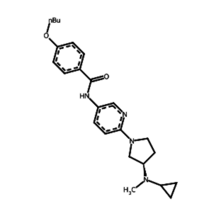 CCCCOc1ccc(C(=O)Nc2ccc(N3CC[C@@H](N(C)C4CC4)C3)nc2)cc1